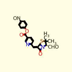 CC1(C)SC2/C(=C\c3ccc(C(=O)Oc4ccc(N=O)cc4)cn3)C(=O)N2[C@H]1C=O